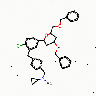 CC(=O)N(Cc1ccc(Cc2cc(C3CC(OCc4ccccc4)CC(COCc4ccccc4)O3)ccc2Cl)cc1)C1CC1